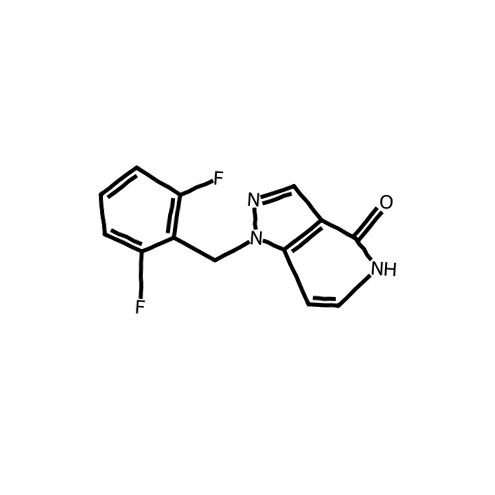 O=c1[nH]ccc2c1cnn2Cc1c(F)cccc1F